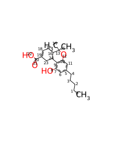 CCCCCc1cc(O)c2c(c1)OC(C)(C)C1CC=C(C(=O)O)CC21